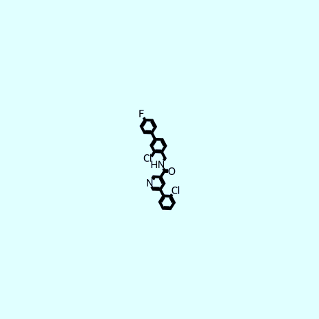 O=C(NCc1ccc(-c2ccc(F)cc2)cc1Cl)c1cncc(-c2ccccc2Cl)c1